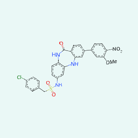 COc1cc(-c2ccc3c(c2)Nc2cc(NS(=O)(=O)Cc4ccc(Cl)cc4)ccc2NC3=O)ccc1[N+](=O)[O-]